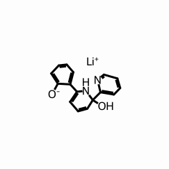 [Li+].[O-]c1ccccc1C1=CC=CC(O)(c2ccccn2)N1